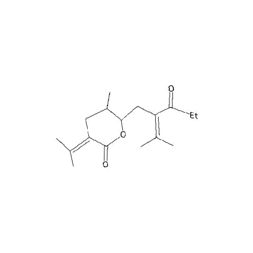 CCC(=O)C(CC1OC(=O)C(=C(C)C)CC1C)=C(C)C